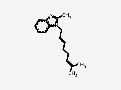 CC(C)=CCCC=CCn1c(C)nc2ccccc21